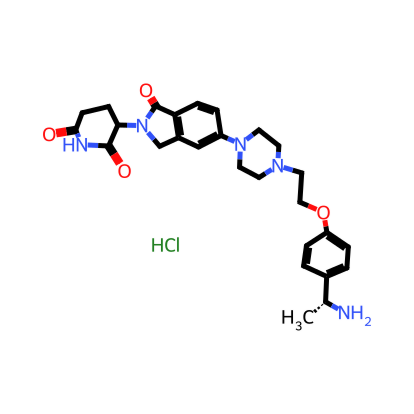 C[C@@H](N)c1ccc(OCCN2CCN(c3ccc4c(c3)CN(C3CCC(=O)NC3=O)C4=O)CC2)cc1.Cl